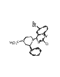 O=C(O)N1CCN(c2nc(Cl)nc3ccc(Br)cc23)C(c2ccccc2)C1